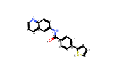 O=C(Nc1ccc2ncccc2c1)c1ccc(-c2cccs2)cc1